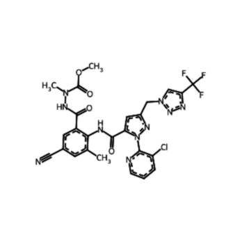 COC(=O)N(C)NC(=O)c1cc(C#N)cc(C)c1NC(=O)c1cc(Cn2cc(C(F)(F)F)nn2)nn1-c1ncccc1Cl